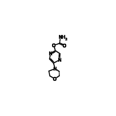 NC(=O)Oc1cnc(N2CCOCC2)cn1